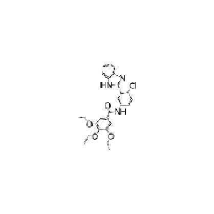 CCOc1cc(C(=O)Nc2ccc(Cl)c(-c3nc4ccccc4[nH]3)c2)cc(OCC)c1OCC